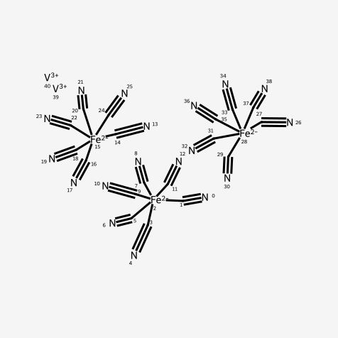 N#[C][Fe-2]([C]#N)([C]#N)([C]#N)([C]#N)[C]#N.N#[C][Fe-2]([C]#N)([C]#N)([C]#N)([C]#N)[C]#N.N#[C][Fe-2]([C]#N)([C]#N)([C]#N)([C]#N)[C]#N.[V+3].[V+3]